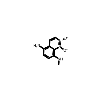 CNc1ccc(N)c2cc[n+]([O-])[n+]([O-])c12